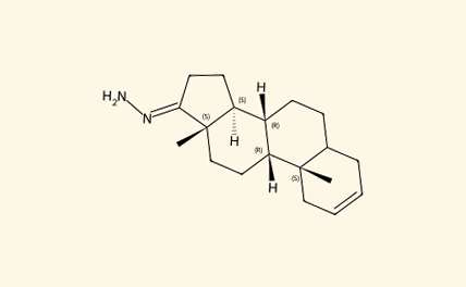 C[C@]12CC=CCC1CC[C@@H]1[C@H]2CC[C@]2(C)C(=NN)CC[C@@H]12